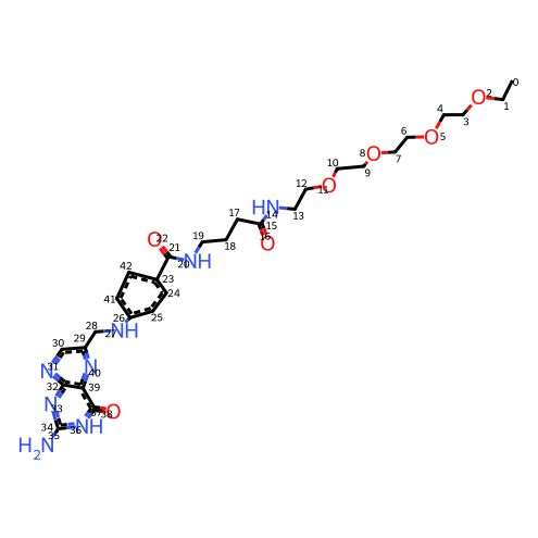 CCOCCOCCOCCOCCNC(=O)CCCNC(=O)c1ccc(NCc2cnc3nc(N)[nH]c(=O)c3n2)cc1